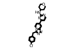 Clc1ccc(Cc2nnc3cc(-c4ccnc(NC5CCOCC5)n4)ccn23)cc1